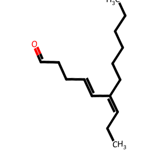 CCC=C(C=CCCC=O)CCCCCC